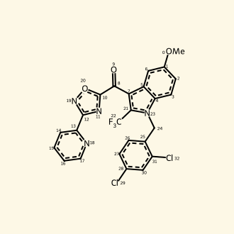 COc1ccc2c(c1)c(C(=O)c1nc(-c3ccccn3)no1)c(C(F)(F)F)n2Cc1ccc(Cl)cc1Cl